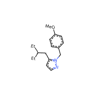 CCC([CH]c1ccnn1Cc1ccc(OC)cc1)CC